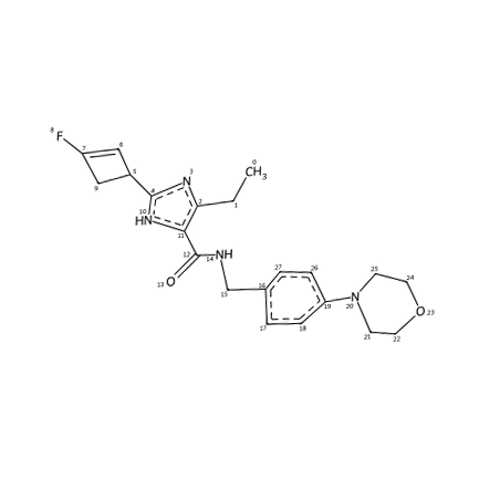 CCc1nc(C2C=C(F)C2)[nH]c1C(=O)NCc1ccc(N2CCOCC2)cc1